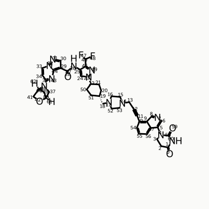 O=C1CCN(c2cncc3c(C#CCN4CCN(C[C@H]5CC[C@H](n6cc(NC(=O)c7cnn8ccc(N9C[C@H]%10C[C@@H]9CO%10)nc78)c(C(F)F)n6)CC5)CC4)cccc23)C(=O)N1